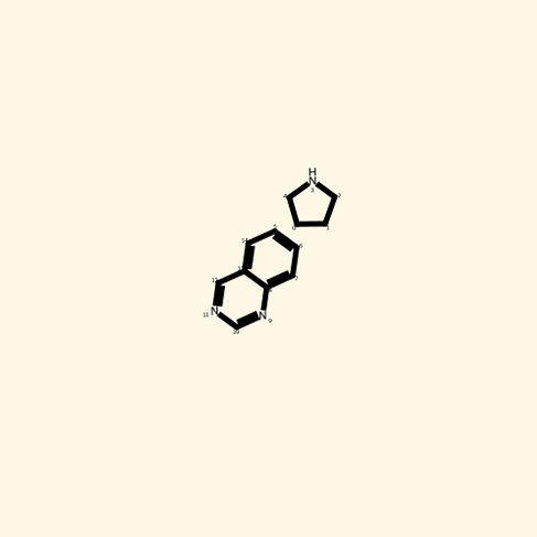 C1CCNC1.c1ccc2ncncc2c1